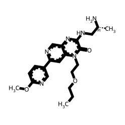 CCCOCCn1c(=O)c(NC[C@@H](C)N)nc2cnc(-c3ccc(OC)nc3)cc21